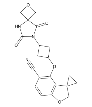 N#Cc1ccc2c(c1OC1CC(N3C(=O)NC4(COC4)C3=O)C1)C1(CC1)CO2